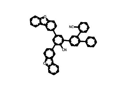 N#Cc1ccccc1-c1cc(-c2cc(-c3ccc4oc5ccccc5c4c3)cc(-c3ccc4oc5ccccc5c4c3)c2C#N)ccc1-c1ccccc1